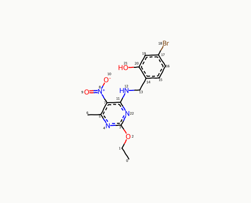 CCOc1nc(C)c([N+](=O)[O-])c(NCc2ccc(Br)cc2O)n1